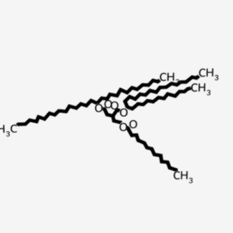 CCCCCCCCCCCCCCCCC(CCCCCCCCCCCCC)OC(=O)CC(CCOC(=O)CCCCCCCCCCCCC)C(=O)OC(CCCCCCCCCCCCC)CCCCCCCCCCCCCCCC